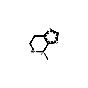 C[C@H]1NCCc2ncsc21